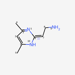 CC1=CC(C)=N/C(=C\CN)N1